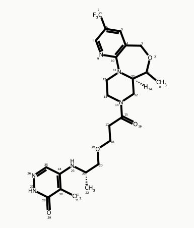 CC1OCc2cc(C(F)(F)F)cnc2N2CCN(C(=O)CCOC[C@H](C)Nc3cn[nH]c(=O)c3C(F)(F)F)C[C@H]12